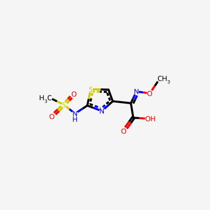 CON=C(C(=O)O)c1csc(NS(C)(=O)=O)n1